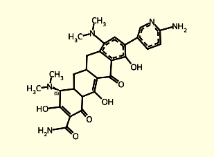 CN(C)c1cc(-c2ccc(N)nc2)c(O)c2c1CC1CC3C(C(=O)C(C(N)=O)=C(O)[C@H]3N(C)C)C(O)=C1C2=O